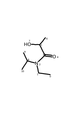 CCN(C(=O)C(C)O)C(C)C